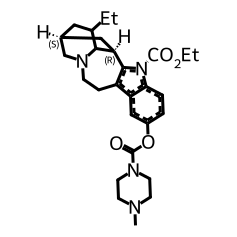 CCOC(=O)n1c2c(c3cc(OC(=O)N4CCN(C)CC4)ccc31)CCN1C[C@H]3CC(CC)C1[C@H]2C3